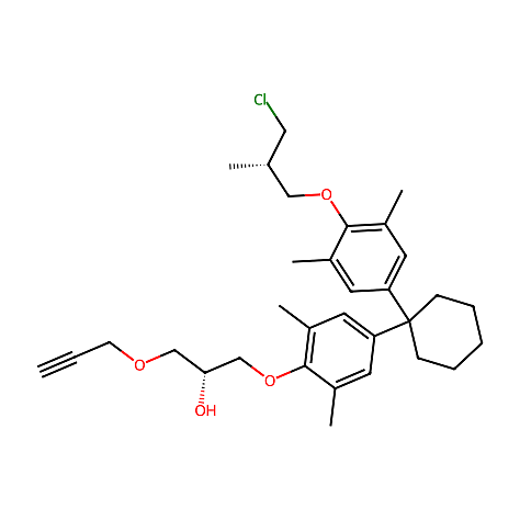 C#CCOC[C@@H](O)COc1c(C)cc(C2(c3cc(C)c(OC[C@H](C)CCl)c(C)c3)CCCCC2)cc1C